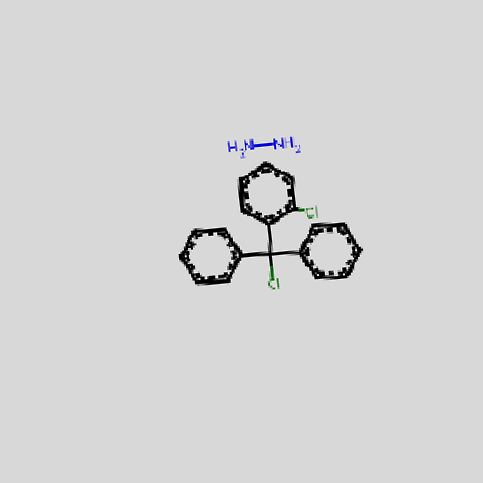 Clc1ccccc1C(Cl)(c1ccccc1)c1ccccc1.NN